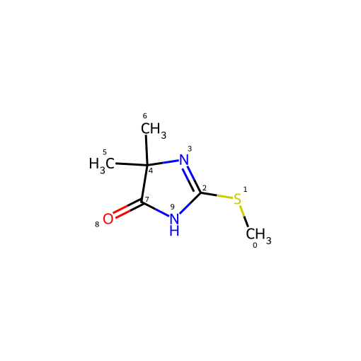 CSC1=NC(C)(C)C(=O)N1